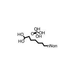 CCCCCCCCCCCCCCCC(O)O.O=P(O)(O)O